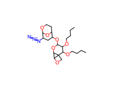 CCCCOC1C(OC2CC(N=[N+]=[N-])C3OCCC2O3)OC2C3OCC32C1OCCCC